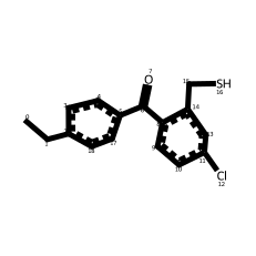 CCc1ccc(C(=O)c2ccc(Cl)cc2CS)cc1